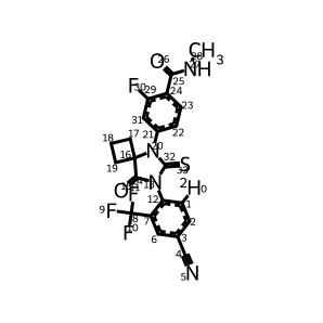 [2H]c1cc(C#N)cc(C(F)(F)F)c1N1C(=O)C2(CCC2)N(c2ccc(C(=O)NC)c(F)c2)C1=S